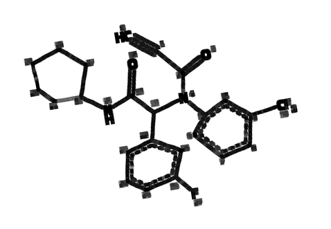 C#CC(=O)N(c1cccc(C(F)(F)F)c1)C(C(=O)NC1CCCCC1)c1cccc(F)c1